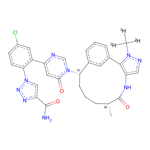 [2H]C([2H])([2H])n1ncc2c1-c1cccc(c1)[C@@H](n1cnc(-c3cc(Cl)ccc3-n3cc(C(N)=O)nn3)cc1=O)CCC[C@@H](C)C(=O)N2